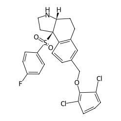 O=S(=O)(c1ccc(F)cc1)[C@@]12CCN[C@@H]1CCc1cc(COc3c(Cl)cccc3Cl)ccc12